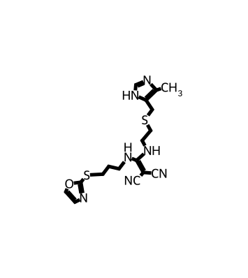 Cc1nc[nH]c1CSCCNC(NCCCSc1ncco1)=C(C#N)C#N